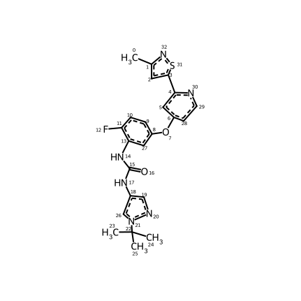 Cc1cc(-c2cc(Oc3ccc(F)c(NC(=O)Nc4cnn(C(C)(C)C)c4)c3)ccn2)sn1